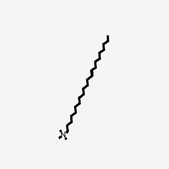 CCCCCCCCC=CCCCCCCCCCCCC[N+](C)(C)C